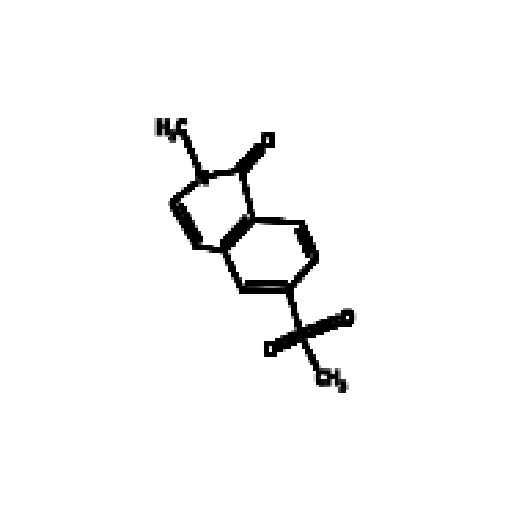 Cn1ccc2cc(S(C)(=O)=O)ccc2c1=O